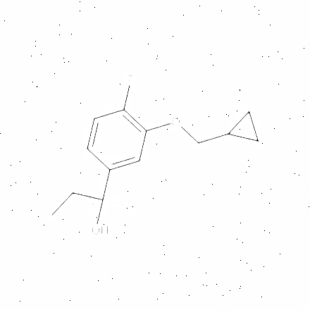 CC[C@](C)(O)c1ccc(F)c(OCC2CC2)c1